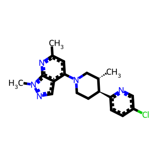 Cc1cc(N2CC[C@H](c3ccc(Cl)cn3)[C@@H](C)C2)c2cnn(C)c2n1